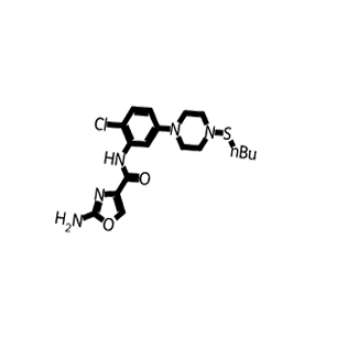 CCCCSN1CCN(c2ccc(Cl)c(NC(=O)c3coc(N)n3)c2)CC1